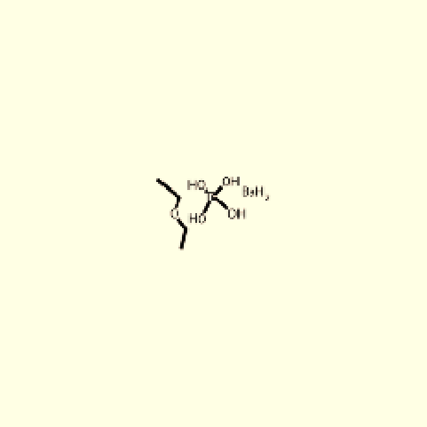 CCOCC.[BaH2].[OH][Ti]([OH])([OH])[OH]